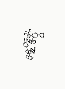 O=C(Nc1cccc(-c2nnc(-c3ccco3)o2)c1)c1cc(Cl)ccc1OC(F)F